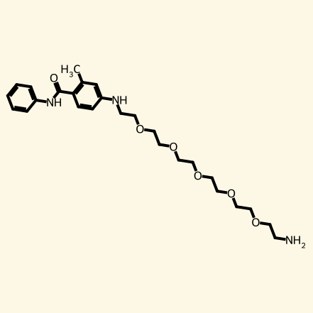 Cc1cc(NCCOCCOCCOCCOCCOCCN)ccc1C(=O)Nc1ccccc1